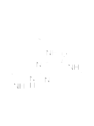 Cc1ccc(Nc2nc(NC[C@H](C)N)ncc2C(N)=O)cc1